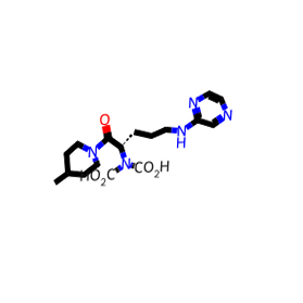 CC1CCN(C(=O)[C@H](CCCNc2cnccn2)N(C(=O)O)C(=O)O)CC1